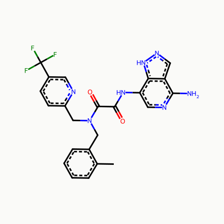 Cc1ccccc1CN(Cc1ccc(C(F)(F)F)cn1)C(=O)C(=O)Nc1cnc(N)c2cn[nH]c12